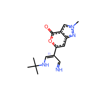 Cn1cc2c(=O)oc(/C(C=N)=C/NC(C)(C)C)cc2n1